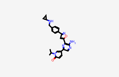 CC(C)n1cc(-c2cnc(N)c(-c3cc(-c4ccc(CNC5CC5)cc4)no3)n2)ccc1=O